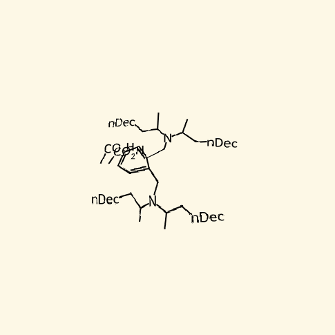 CC(=O)O.CC(=O)O.CCCCCCCCCCCC(C)N(Cc1ccccc1CN(C(C)CCCCCCCCCCC)C(C)CCCCCCCCCCC)C(C)CCCCCCCCCCC